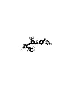 CCN1CCN(C(=O)c2ccc(NC(=O)Cc3cccc(C#Cc4cnc(N)nc4-c4cc5c(n4C)CCNC5=O)c3)cc2)CC1.Cl.Cl